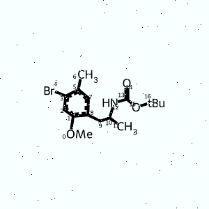 COc1cc(Br)c(C)cc1CC(C)NC(=O)OC(C)(C)C